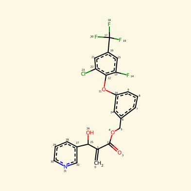 C=C(C(=O)OCc1cccc(Oc2c(F)cc(C(F)(F)F)cc2Cl)c1)C(O)c1cccnc1